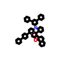 c1ccc(-c2ccc(-c3ccc(N(c4cc(-c5ccccc5)cc(-c5ccccc5)c4)c4ccccc4-c4cccc5oc6c7ccccc7ccc6c45)cc3)cc2)cc1